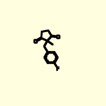 CC1(Cc2ccc(F)cc2)C(=O)CCC1=O